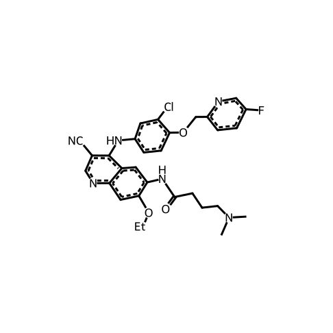 CCOc1cc2ncc(C#N)c(Nc3ccc(OCc4ccc(F)cn4)c(Cl)c3)c2cc1NC(=O)CCCN(C)C